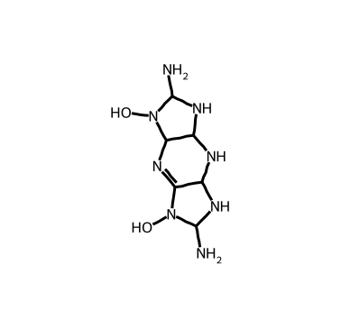 NC1NC2NC3NC(N)N(O)C3N=C2N1O